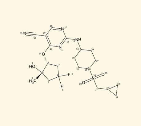 C[C@]1(O)CC(F)(F)C[C@H]1Oc1nc(NC2CCN(S(=O)(=O)CC3CC3)CC2)ncc1C#N